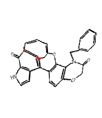 Cn1cc(-c2ccc3c(c2Oc2ccccc2)N(Cc2ccccc2)C(=O)CO3)c2cc[nH]c2c1=O